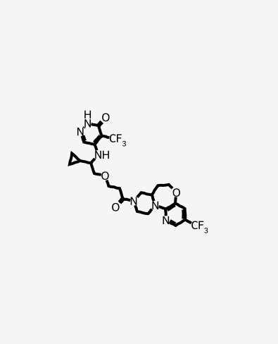 O=C(CCOCC(Nc1cn[nH]c(=O)c1C(F)(F)F)C1CC1)N1CCN2c3ncc(C(F)(F)F)cc3OCCC2C1